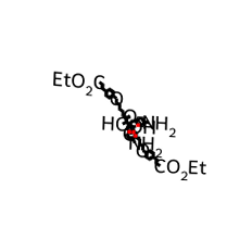 CCOC(=O)/C=C/c1ccc(OCCCCCC(=O)C(O)C(Cc2ccc(N)cc2)(Cc2ccc(N)cc2)C(O)C(=O)CCCCCOc2ccc(/C=C/C(=O)OCC)cc2)cc1